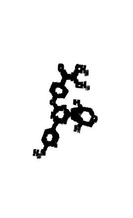 CN(C)C(=O)c1ccc(Oc2nc(-c3ccc(N)nc3)nc(N3[C@@H]4CC[C@H]3COC4)n2)cc1